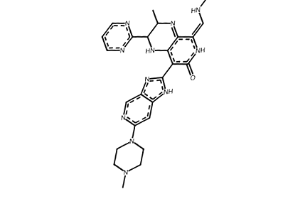 CN/C=c1/[nH]c(=O)c(-c2nc3cnc(N4CCN(C)CC4)cc3[nH]2)c2c1=NC(C)C(c1ncccn1)N2